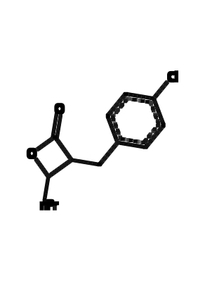 CCCC1OC(=O)C1Cc1ccc(Cl)cc1